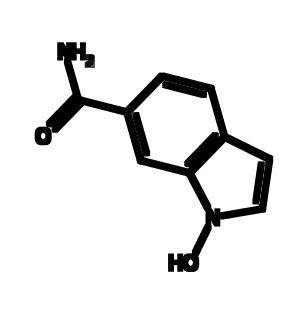 NC(=O)c1ccc2ccn(O)c2c1